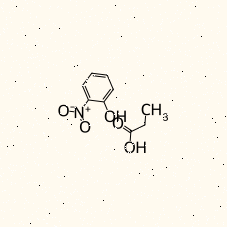 CCC(=O)O.O=[N+]([O-])c1ccccc1O